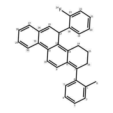 Cc1ccccc1C1=c2ccc3c(c2CCC1)C(c1ccccc1F)C=c1ccccc1=3